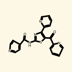 O=C(Nc1nc(-c2ccccn2)c(C(=O)c2ccccn2)s1)c1ccncc1